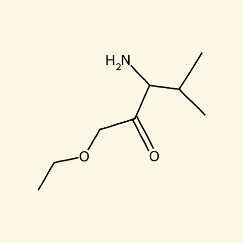 CCOCC(=O)C(N)C(C)C